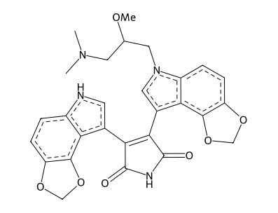 COC(CN(C)C)Cn1cc(C2=C(c3c[nH]c4ccc5c(c34)OCO5)C(=O)NC2=O)c2c3c(ccc21)OCO3